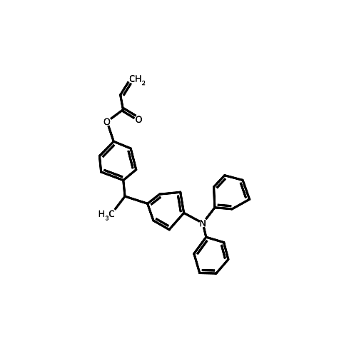 C=CC(=O)Oc1ccc(C(C)c2ccc(N(c3ccccc3)c3ccccc3)cc2)cc1